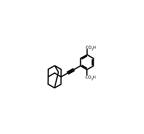 O=C(O)c1ccc(C(=O)O)c(C#CC23CC4CC(CC(C4)C2)C3)c1